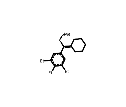 CCc1cc(C(SSC)=C2CCCCC2)cc(CC)c1CC